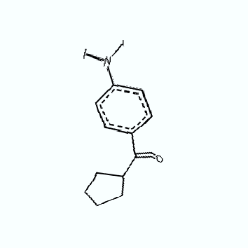 O=C(c1ccc(N(I)I)cc1)C1CCCC1